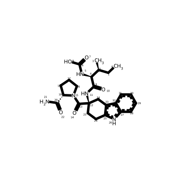 CC[C@H](C)[C@H](NC(=O)O)C(=O)N[C@]1(C(=O)N2CCC[C@H]2C(N)=O)CCc2[nH]c3ccccc3c2C1